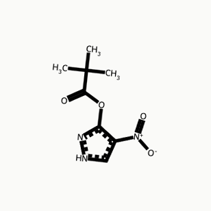 CC(C)(C)C(=O)Oc1n[nH]cc1[N+](=O)[O-]